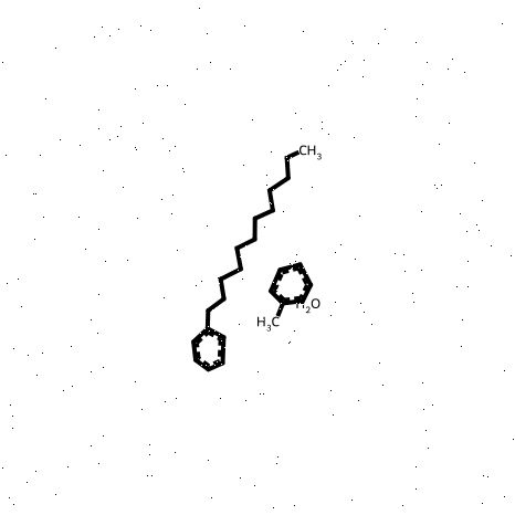 CCCCCCCCCCCCc1ccccc1.Cc1ccccc1.O